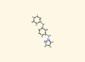 c1ccc(Cc2cccc(Cn3cccn3)c2)cc1